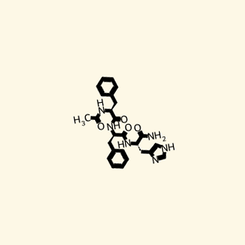 CC(=O)N[C@@H](Cc1ccccc1)C(=O)N[C@H](Cc1ccccc1)C(=O)N[C@@H](Cc1c[nH]cn1)C(N)=O